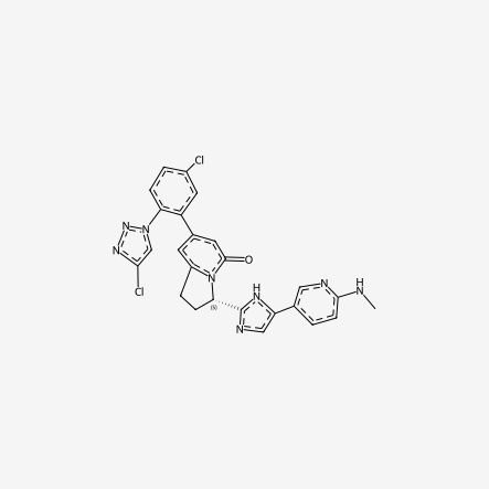 CNc1ccc(-c2cnc([C@@H]3CCc4cc(-c5cc(Cl)ccc5-n5cc(Cl)nn5)cc(=O)n43)[nH]2)cn1